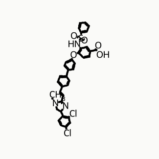 CCN1CC(c2ccc(Cl)cc2Cl)N=C1/C=C/c1ccc(-c2ccc(Oc3ccc(C(=O)O)cc3NS(=O)(=O)c3ccccc3)cc2)cc1